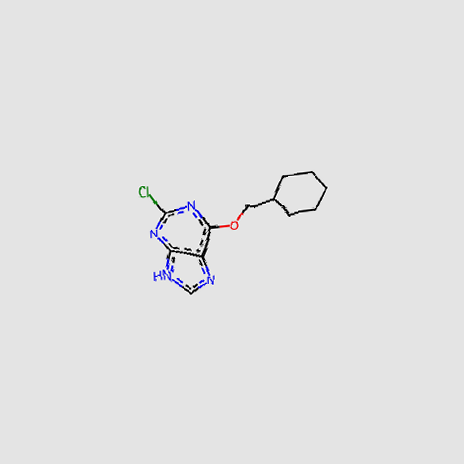 Clc1nc(OCC2CCCCC2)c2nc[nH]c2n1